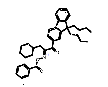 CCCCC1(CCCC)c2ccccc2-c2ccc(C(=O)/C(CC3CCCCC3)=N/OC(=O)c3ccccc3)cc21